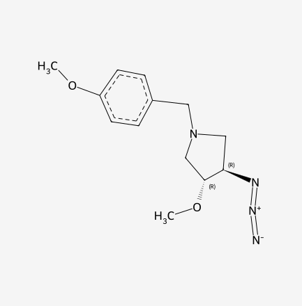 COc1ccc(CN2C[C@@H](N=[N+]=[N-])[C@H](OC)C2)cc1